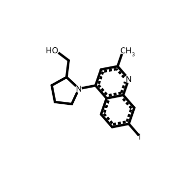 Cc1cc(N2CCCC2CO)c2ccc(I)cc2n1